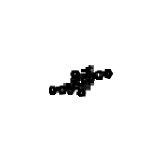 CC(C)[C@H](NC(=O)N1CCN(c2ccccc2)CC1)C(=O)N[C@@H](Cc1ccccc1)[C@H](O)[C@@H](O)[C@H](Cc1ccccc1)NC(=O)[C@@H](NC(=O)N1CCN(c2ccccc2)CC1)C(C)C